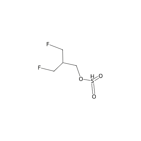 O=[SH](=O)OCC(CF)CF